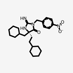 N=C1N[C@](CCC2CCCCC2)(CC2CCCCC2)C(=O)N1Cc1ccc([N+](=O)[O-])cc1